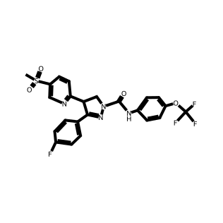 CS(=O)(=O)c1ccc(C2CN(C(=O)Nc3ccc(OC(F)(F)F)cc3)N=C2c2ccc(F)cc2)nc1